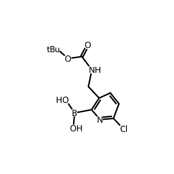 CC(C)(C)OC(=O)NCc1ccc(Cl)nc1B(O)O